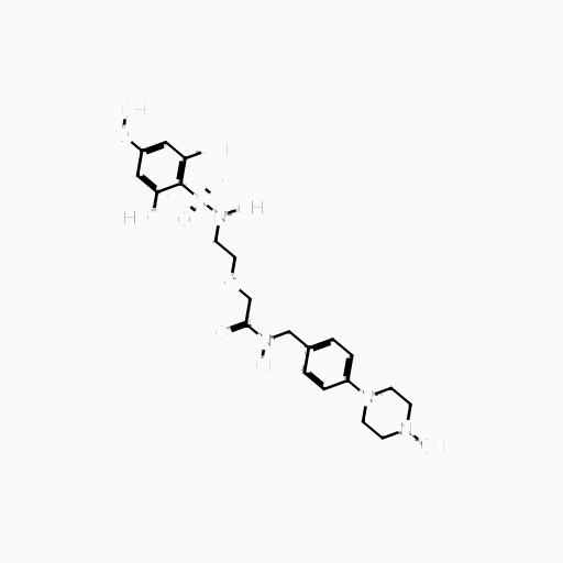 COc1cc(C)c(S(=O)(=O)N(C)CCOCC(=O)N(C)Cc2ccc(N3CCN(C)CC3)cc2)c(C)c1